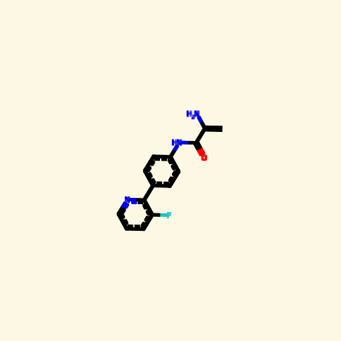 C=C(N)C(=O)Nc1ccc(-c2ncccc2F)cc1